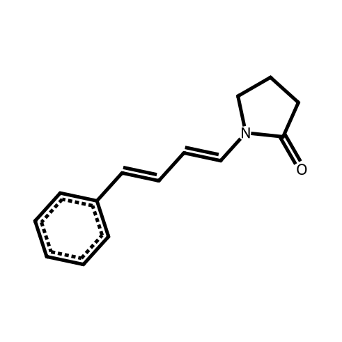 O=C1CCCN1C=CC=Cc1ccccc1